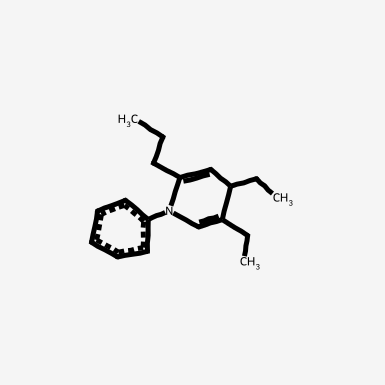 CCCC1=CC(CC)C(CC)=CN1c1ccccc1